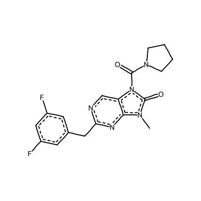 Cn1c(=O)n(C(=O)N2CCCC2)c2cnc(Cc3cc(F)cc(F)c3)nc21